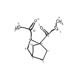 COC(=O)C12CCC(CC1C(=O)O)C2